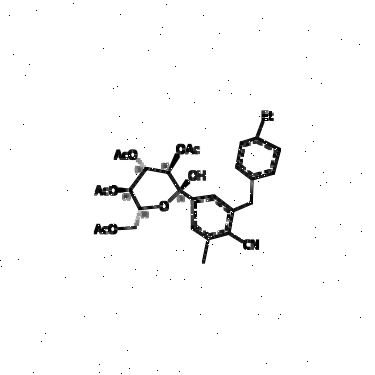 CCc1ccc(Cc2cc([C@]3(O)O[C@H](COC(C)=O)[C@@H](OC(C)=O)[C@H](OC(C)=O)[C@H]3OC(C)=O)cc(C)c2C#N)cc1